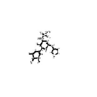 CCCS(=O)(=O)Nc1nc(OC2CCOC2)nc(-c2cc(C)c(=O)n(C)c2)c1C